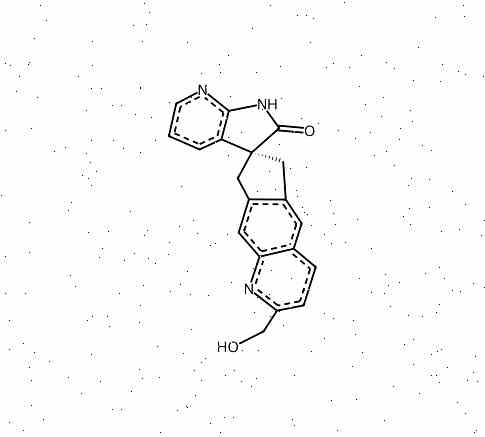 O=C1Nc2ncccc2[C@@]12Cc1cc3ccc(CO)nc3cc1C2